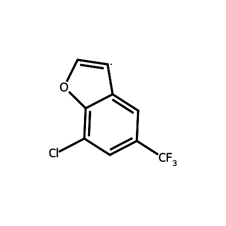 FC(F)(F)c1cc(Cl)c2oc[c]c2c1